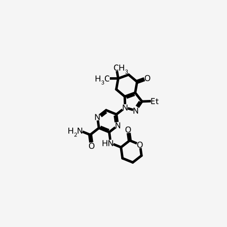 CCc1nn(-c2cnc(C(N)=O)c(NC3CCCOC3=O)n2)c2c1C(=O)CC(C)(C)C2